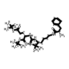 C[C@@H](Cc1ccccc1)C(=O)NCCCC[C@H](NC(=O)N[C@@H](CCC(=O)OC(C)(C)C)C(=O)OC(C)(C)C)C(C)(C)C